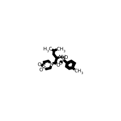 Cc1ccc(S(=O)(=O)NC(CC(C)C)C(=O)N2CCS(=O)(=O)CC2)cc1